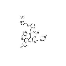 Cc1c(-c2c(-c3cccc(F)c3)ncc3snc(O[C@H](Cc4ccccc4OCc4ccnn4CC(F)(F)F)C(=O)O)c23)ccc(OCCN2CCN(C)CC2)c1Cl